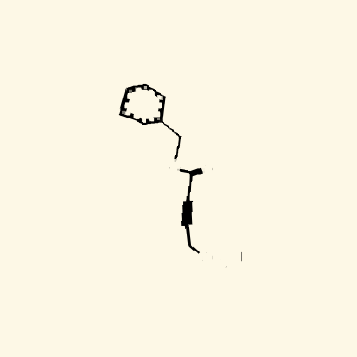 O=C(O)CC#CC(=O)OCc1ccccc1